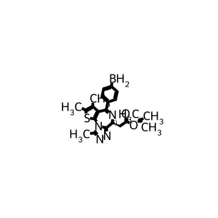 Bc1ccc(C2=N[C@@H](CC(=O)OC(C)(C)C)c3nnc(C)n3-c3sc(C)c(C)c32)cc1